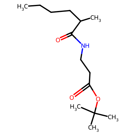 CCCCC(C)C(=O)NCCC(=O)OC(C)(C)C